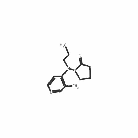 CCCN(c1ccncc1C)N1CCCC1=O